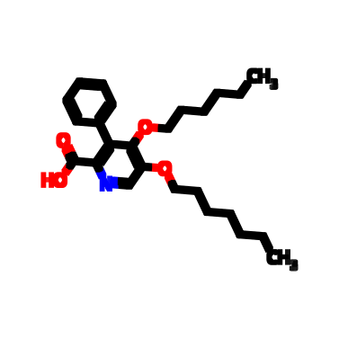 CCCCCCCOc1cnc(C(=O)O)c(-c2ccccc2)c1OCCCCCC